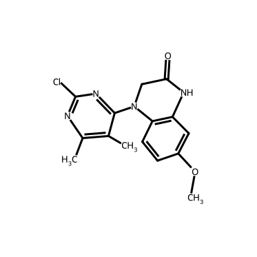 COc1ccc2c(c1)NC(=O)CN2c1nc(Cl)nc(C)c1C